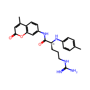 Cc1ccc(N[C@@H](CCCNC(=N)N)C(=O)Nc2ccc3c(C)cc(=O)oc3c2)cc1